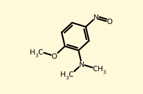 COc1ccc(N=O)cc1N(C)C